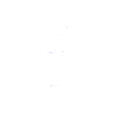 COC(=O)c1ccc(-c2nc3sc(C#N)c(C)c3c(=O)[nH]2)cc1